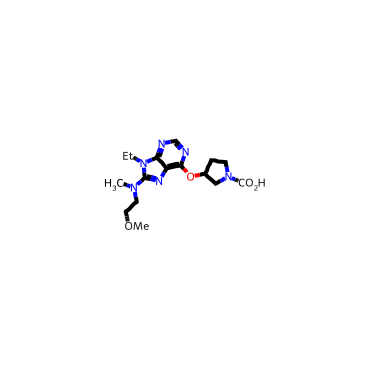 CCn1c(N(C)CCOC)nc2c(OC3CCN(C(=O)O)C3)ncnc21